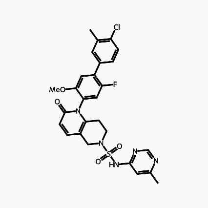 COc1cc(-c2ccc(Cl)c(C)c2)c(F)cc1-n1c2c(ccc1=O)CN(S(=O)(=O)Nc1cc(C)ncn1)CC2